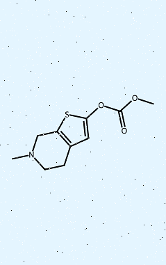 COC(=O)Oc1cc2c(s1)CN(C)CC2